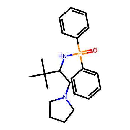 CC(C)(C)C(CN1CCCC1)NP(=O)(c1ccccc1)c1ccccc1